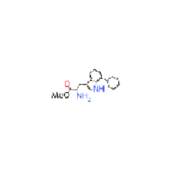 COC(=O)[C@@H](N)Cc1c[nH]c2c(-c3ccccc3)cccc12